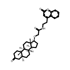 C[C@]12CCC(=O)C[C@@H]1CC[C@@H]1[C@@H]2CC[C@]2(C)[C@@H](OCC(=O)NCCc3cc(=O)oc4ccccc34)CC[C@@H]12